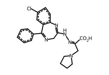 O=C(O)/C(CN1CCCC1)=N\NC1=Nc2ccc(Cl)cc2C(c2ccccc2)=NC1